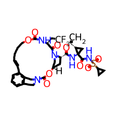 C=C[C@@H]1C[C@]1(NC(=O)[C@@H]1C[C@@H]2CN1C(=O)[C@H](CC(F)(F)F)NC(=O)OCCC/C=C/c1cccc3c1CN(C3)C(=O)O2)C(=O)NS(=O)(=O)C1CC1